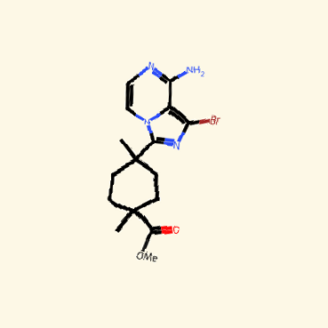 COC(=O)C1(C)CCC(C)(c2nc(Br)c3c(N)nccn23)CC1